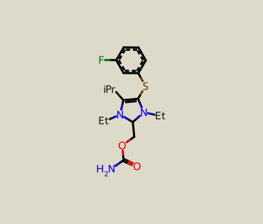 CCN1C(Sc2cccc(F)c2)=C(C(C)C)N(CC)C1COC(N)=O